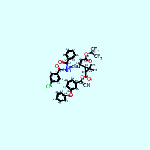 CC(C)(C)N(NC(=O)c1ccc(Cl)cc1)C(=O)c1ccccc1.CC1(C)C(/C=C\C(=O)OC(C(F)(F)F)C(F)(F)F)C1C(=O)OC(C#N)c1cccc(Oc2ccccc2)c1